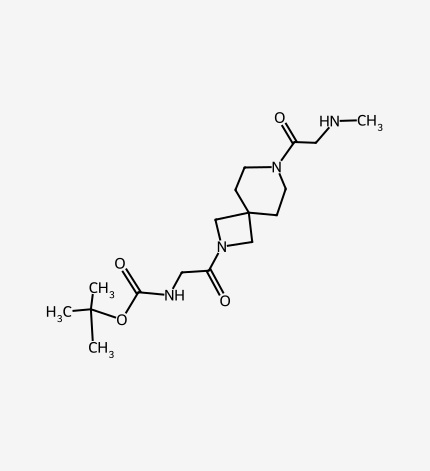 CNCC(=O)N1CCC2(CC1)CN(C(=O)CNC(=O)OC(C)(C)C)C2